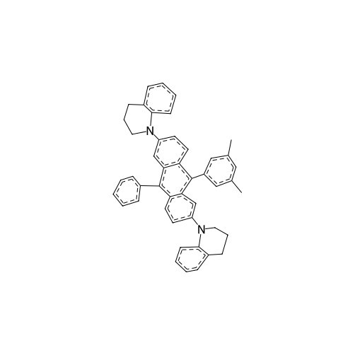 Cc1cc(C)cc(-c2c3ccc(N4CCCc5ccccc54)cc3c(-c3ccccc3)c3ccc(N4CCCc5ccccc54)cc23)c1